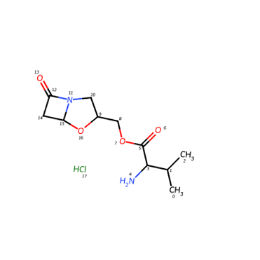 CC(C)C(N)C(=O)OCC1CN2C(=O)CC2O1.Cl